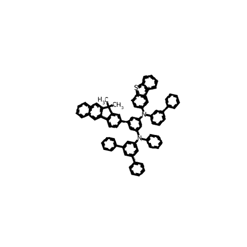 CC1(C)c2cc(-c3cc(N(c4ccccc4)c4cc(-c5ccccc5)cc(-c5ccccc5)c4)cc(N(c4cccc(-c5ccccc5)c4)c4ccc5sc6ccccc6c5c4)c3)ccc2-c2cc3ccccc3cc21